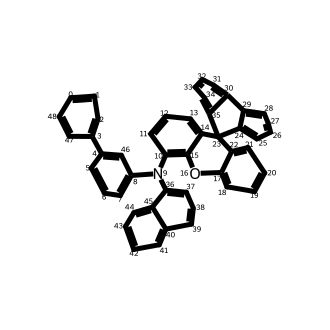 c1ccc(-c2cccc(N(c3cccc4c3Oc3ccccc3C43c4ccccc4-c4ccccc43)c3cccc4ccccc34)c2)cc1